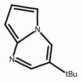 CC(C)(C)c1cnc2cccn2c1